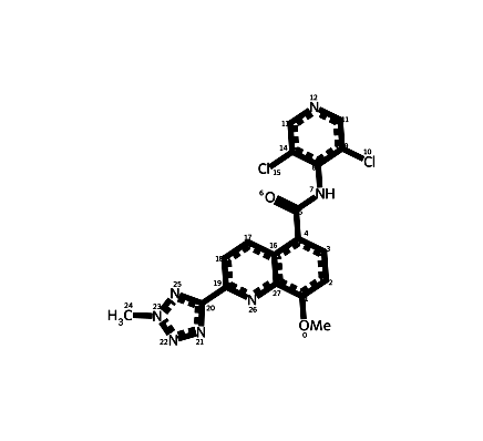 COc1ccc(C(=O)Nc2c(Cl)cncc2Cl)c2ccc(-c3nnn(C)n3)nc12